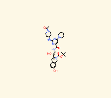 CC(=O)N1CCC(Nc2nc(C(=O)NC[C@@H](O)[C@@H]3Cc4ccc(O)cc4CN3C(=O)OC(C)(C)C)cc(N3CCCCC3)n2)CC1